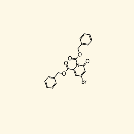 O=C(OCc1ccccc1)c1cc(Br)cc(=O)n1C(=O)OCc1ccccc1